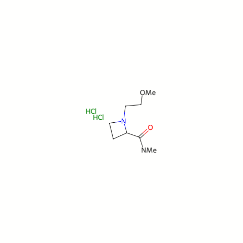 CNC(=O)C1CCN1CCOC.Cl.Cl